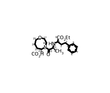 CCOC(=O)C(CCc1ccccc1)N[C@@H](C)C(=O)N1CCOCCC[C@H]1C(=O)O